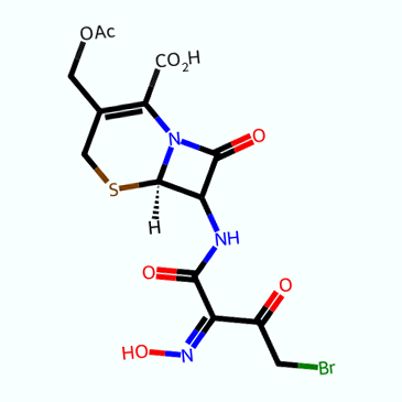 CC(=O)OCC1=C(C(=O)O)N2C(=O)C(NC(=O)/C(=N\O)C(=O)CBr)[C@H]2SC1